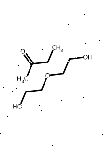 CCC(C)=O.OCCOCCO